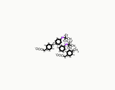 CCC(C)(C)[I+]c1ccccc1.CCC(C)(C)[I+]c1ccccc1.Cc1ccc(CC(=O)[O-])cc1.Cc1ccc(CC(=O)[O-])cc1